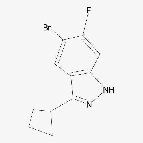 Fc1cc2[nH]nc(C3CCC3)c2cc1Br